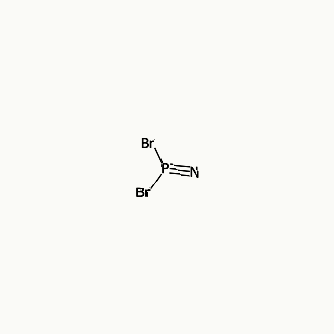 N#P(Br)Br